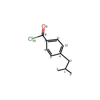 CC(C)Cc1ccc(C(=O)Cl)cc1